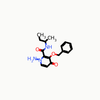 CCC(C)NC(=O)c1c(OCc2ccccc2)c(=O)ccn1N